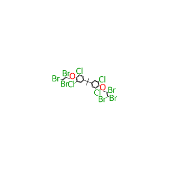 CC(C)(c1cc(Cl)c(OCC(Br)=C(Br)Br)c(Cl)c1)c1cc(Cl)c(OCC(Br)=C(Br)Br)c(Cl)c1